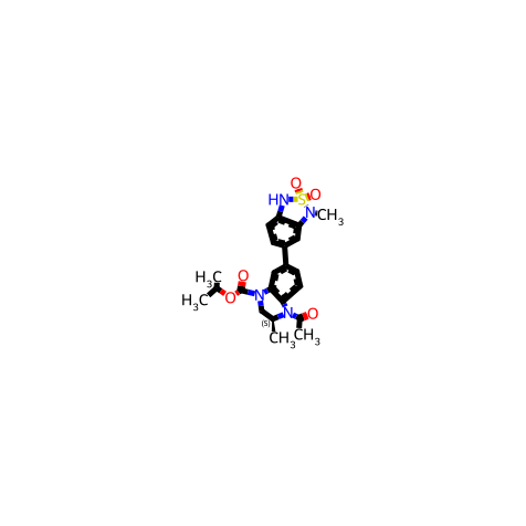 CC(=O)N1c2ccc(-c3ccc4c(c3)N(C)S(=O)(=O)N4)cc2N(C(=O)OC(C)C)C[C@@H]1C